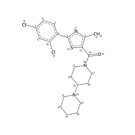 Cc1nc(-c2ccc(Cl)cc2Cl)sc1C(=O)N1CCC(N2CCCCC2)CC1